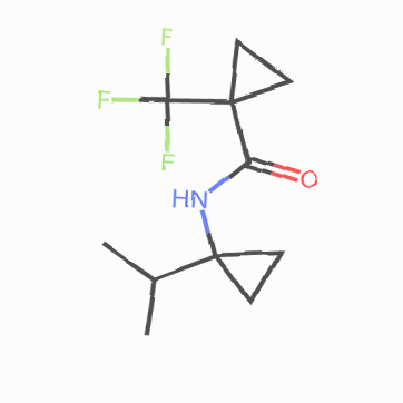 CC(C)C1(NC(=O)C2(C(F)(F)F)CC2)CC1